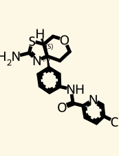 NC1=N[C@@]2(c3cccc(NC(=O)c4ccc(Cl)cn4)c3)CCOC[C@H]2S1